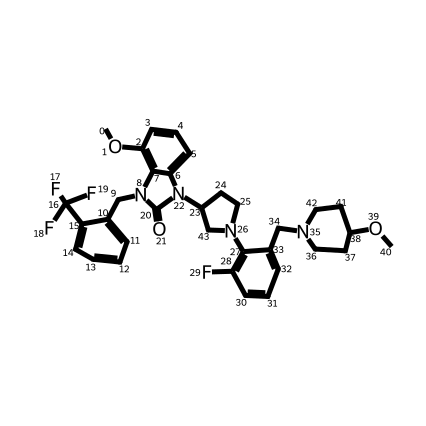 COc1cccc2c1n(Cc1ccccc1C(F)(F)F)c(=O)n2C1CCN(c2c(F)cccc2CN2CCC(OC)CC2)C1